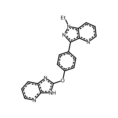 CCn1nc(-c2ccc(Oc3nc4cccnc4[nH]3)cc2)c2ncccc21